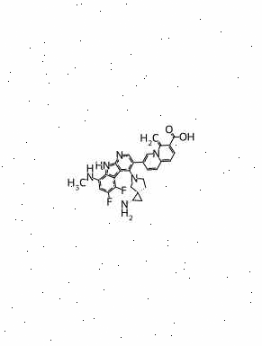 C=C1C(C(=O)O)=CC=C2C=CC(c3cnc4[nH]c5c(NC)cc(F)c(F)c5c4c3N3CC[C@@]4(C[C@@H]4N)C3)=CN12